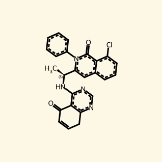 C[C@H](Nc1ncnc2c1C(=O)C=CC2)c1cc2cccc(Cl)c2c(=O)n1-c1ccccc1